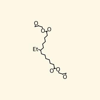 CCC(CCCCCCC(=O)OCC1CO1)CCCCCC(=O)OCC1CO1